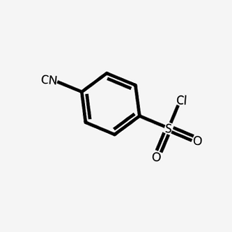 [C-]#[N+]c1ccc(S(=O)(=O)Cl)cc1